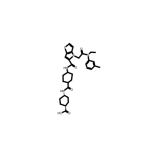 CCN(C(=O)Cn1c(C(=O)NC2CCC(C(=O)N[C@H]3CC[C@H](C(=O)O)CC3)CC2)cc2sccc21)c1cccc(C)c1